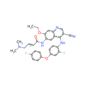 CCOc1cc2ncc(C#N)c(Nc3ccc(Oc4ccc(F)cc4)cc3F)c2cc1NC(=O)/C=C/CN(C)C